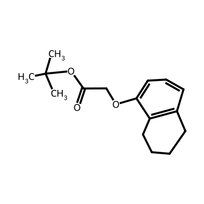 CC(C)(C)OC(=O)COc1cccc2c1CCCC2